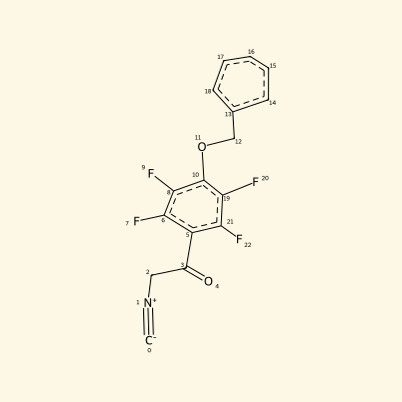 [C-]#[N+]CC(=O)c1c(F)c(F)c(OCc2ccccc2)c(F)c1F